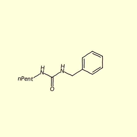 CCCCCNC(=O)NCc1ccccc1